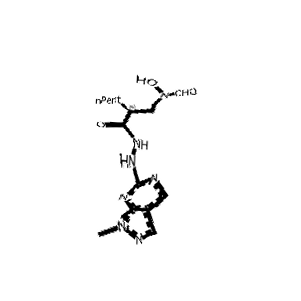 CCCCC[C@@H](CN(O)C=O)C(=O)NNc1ncc2cnn(C)c2n1